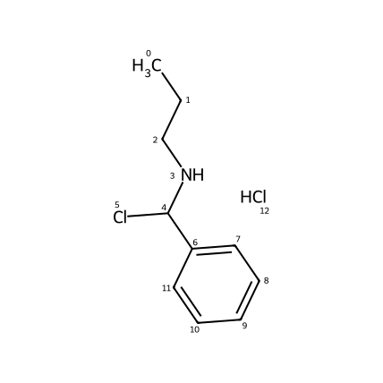 CCCNC(Cl)c1ccccc1.Cl